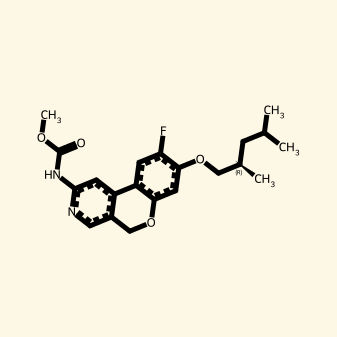 COC(=O)Nc1cc2c(cn1)COc1cc(OC[C@H](C)CC(C)C)c(F)cc1-2